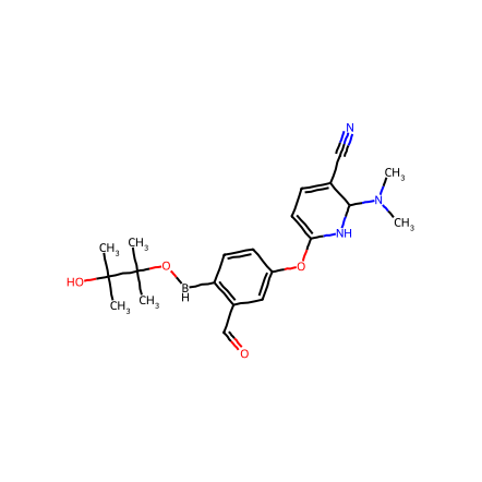 CN(C)C1NC(Oc2ccc(BOC(C)(C)C(C)(C)O)c(C=O)c2)=CC=C1C#N